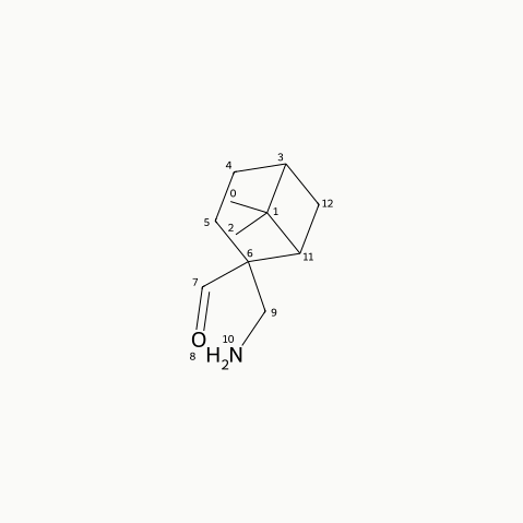 CC1(C)C2CCC(C=O)(CN)C1C2